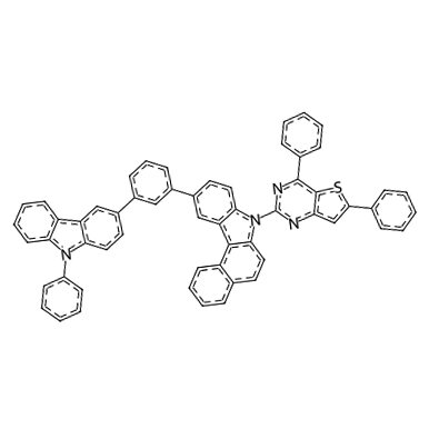 c1ccc(-c2cc3nc(-n4c5ccc(-c6cccc(-c7ccc8c(c7)c7ccccc7n8-c7ccccc7)c6)cc5c5c6ccccc6ccc54)nc(-c4ccccc4)c3s2)cc1